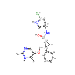 Cc1ncc(OC[C@@]2(c3ccccc3)C[C@H]2C(=O)Nc2ccc(Cl)nc2)c(C)n1